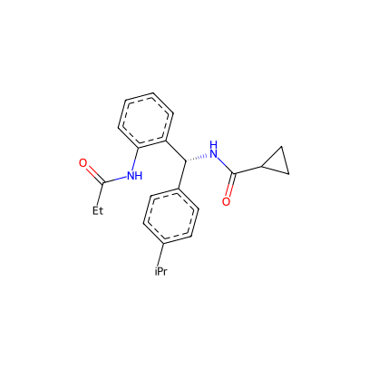 CCC(=O)Nc1ccccc1[C@H](NC(=O)C1CC1)c1ccc(C(C)C)cc1